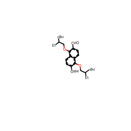 CCCCC(CC)COc1c(C=O)ccc2c(OCC(CC)CCCC)c(OC)ccc12